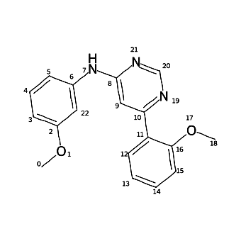 COc1cccc(Nc2cc(-c3ccccc3OC)ncn2)c1